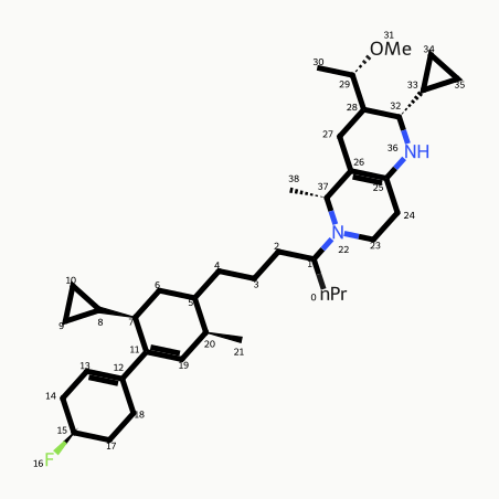 CCCC(CCCC1C[C@H](C2CC2)C(C2=CC[C@H](F)CC2)=C[C@@H]1C)N1CCC2=C(CC([C@H](C)OC)[C@H](C3CC3)N2)[C@H]1C